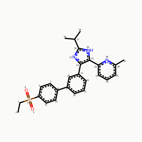 CCS(=O)(=O)c1ccc(-c2cccc(-c3nc(C(C)C)[nH]c3-c3cccc(C)n3)c2)cc1